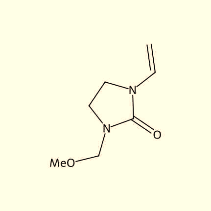 C=CN1CCN(COC)C1=O